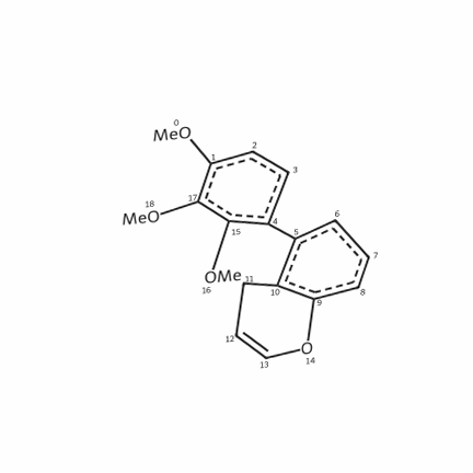 COc1ccc(-c2cccc3c2CC=CO3)c(OC)c1OC